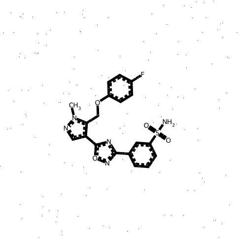 Cn1ncc(-c2nc(-c3cccc(S(N)(=O)=O)c3)no2)c1COc1ccc(F)cc1